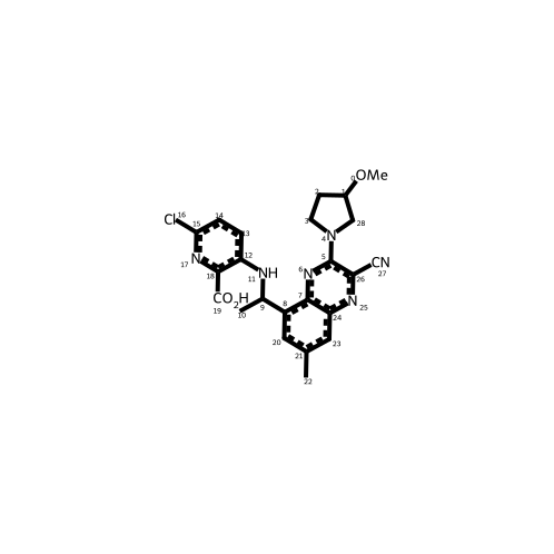 COC1CCN(c2nc3c(C(C)Nc4ccc(Cl)nc4C(=O)O)cc(C)cc3nc2C#N)C1